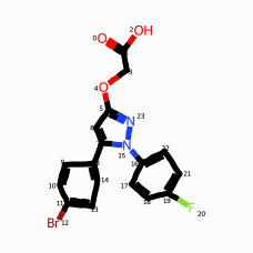 O=C(O)COc1cc(-c2ccc(Br)cc2)n(-c2ccc(F)cc2)n1